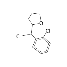 Clc1ccccc1C(Cl)C1CCCO1